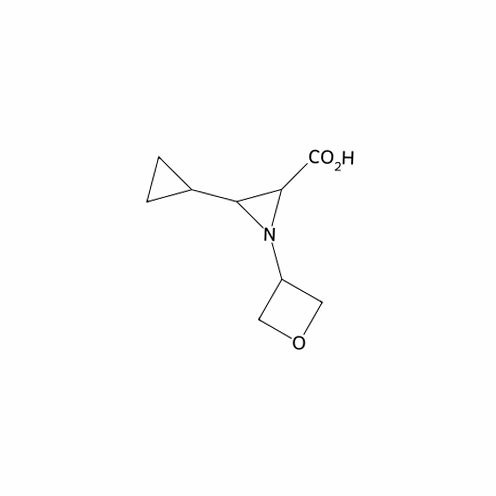 O=C(O)C1C(C2CC2)N1C1COC1